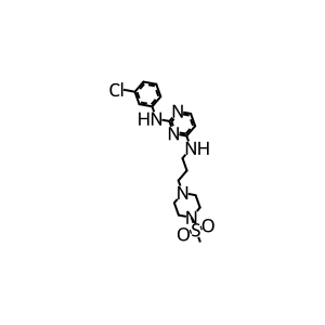 CS(=O)(=O)N1CCN(CCCNc2ccnc(Nc3cccc(Cl)c3)n2)CC1